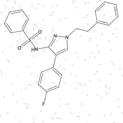 O=S(=O)(Nc1nn(CCc2ccccc2)cc1-c1ccc(F)cc1)c1ccccc1